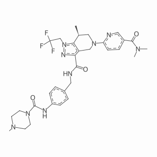 C[C@H]1CN(c2ccc(C(=O)N(C)C)cn2)Cc2c(C(=O)NCc3ccc(NC(=O)N4CCN(C)CC4)cc3)nn(CC(F)(F)F)c21